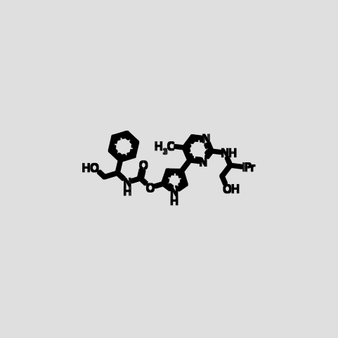 Cc1cnc(NC(CO)C(C)C)nc1-c1c[nH]c(OC(=O)NC(CO)c2ccccc2)c1